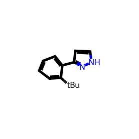 CC(C)(C)c1ccccc1-c1cc[nH]n1